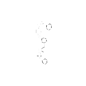 O=C(C=Cc1cccc(CN2CCC(N[C@@H]3C[C@H]3c3ccccc3)CC2)c1)NS(=O)(=O)Cc1ccccc1